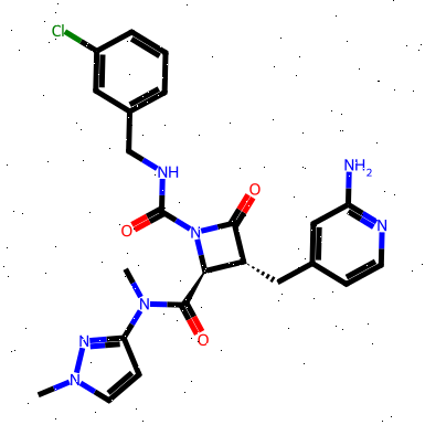 CN(C(=O)[C@@H]1[C@@H](Cc2ccnc(N)c2)C(=O)N1C(=O)NCc1cccc(Cl)c1)c1ccn(C)n1